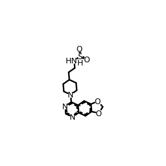 O=[SH](=O)NCCC1CCN(c2ncnc3cc4c(cc23)OCO4)CC1